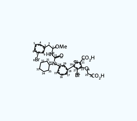 COC(Cc1cccc(Br)c1)NC(=O)N(c1cccc(-c2sc(C(=O)O)c(OCC(=O)O)c2Br)c1)C1CCCCC1